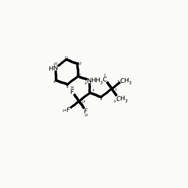 CC(C)(C)CC(NC1CCNCC1)C(F)(F)F